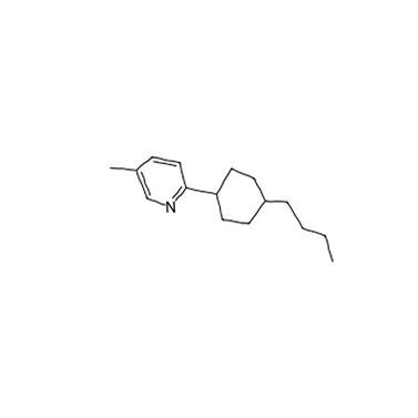 CCCCC1CCC(c2ccc(C)cn2)CC1